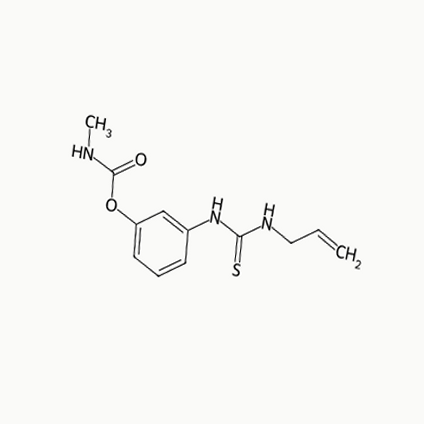 C=CCNC(=S)Nc1cccc(OC(=O)NC)c1